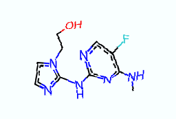 CNc1nc(Nc2nccn2CCO)ncc1F